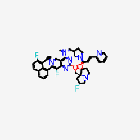 C#Cc1c(F)ccc2cccc(-c3ncc4c(/[N+](C)=C\C5CCN(C(=O)/C=C/c6ccccn6)C5)nc(OC[C@@]56CCCN5C[C@H](F)C6)nc4c3F)c12